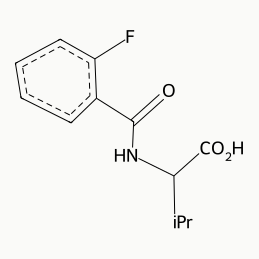 CC(C)C(NC(=O)c1ccccc1F)C(=O)O